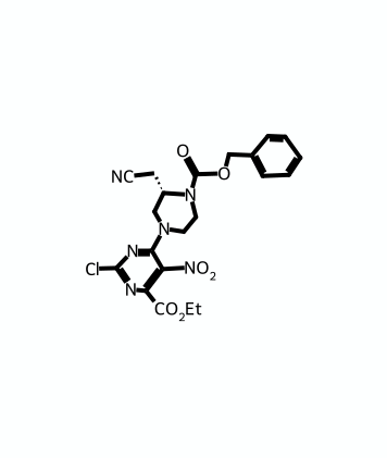 CCOC(=O)c1nc(Cl)nc(N2CCN(C(=O)OCc3ccccc3)[C@@H](CC#N)C2)c1[N+](=O)[O-]